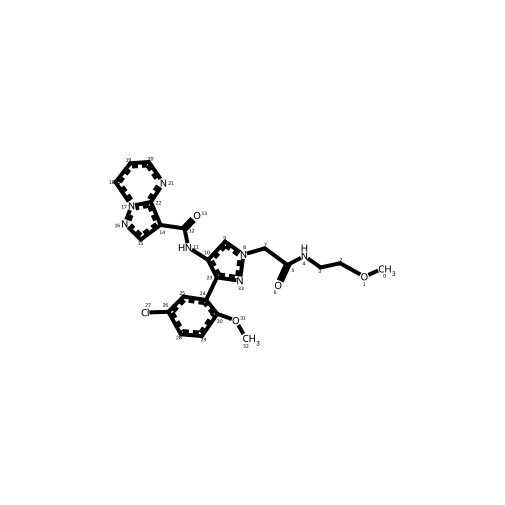 COCCNC(=O)Cn1cc(NC(=O)c2cnn3cccnc23)c(-c2cc(Cl)ccc2OC)n1